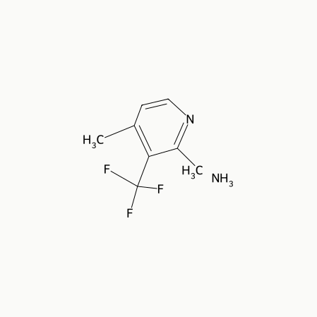 Cc1ccnc(C)c1C(F)(F)F.N